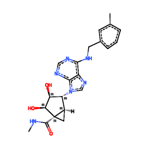 CNC(=O)[C@@]12C[C@@H]1[C@@H](n1cnc3c(NCc4cccc(C)c4)ncnc31)[C@H](O)[C@@H]2O